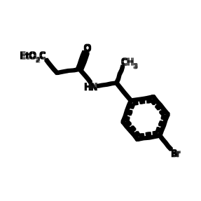 CCOC(=O)CC(=O)NC(C)c1ccc(Br)cc1